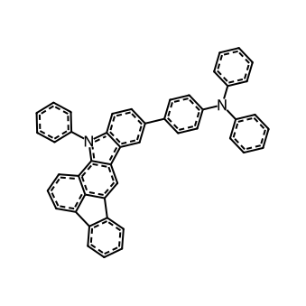 c1ccc(N(c2ccccc2)c2ccc(-c3ccc4c(c3)c3cc5c6c(cccc6c3n4-c3ccccc3)-c3ccccc3-5)cc2)cc1